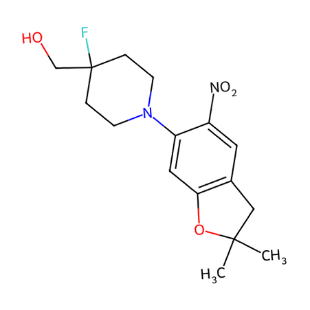 CC1(C)Cc2cc([N+](=O)[O-])c(N3CCC(F)(CO)CC3)cc2O1